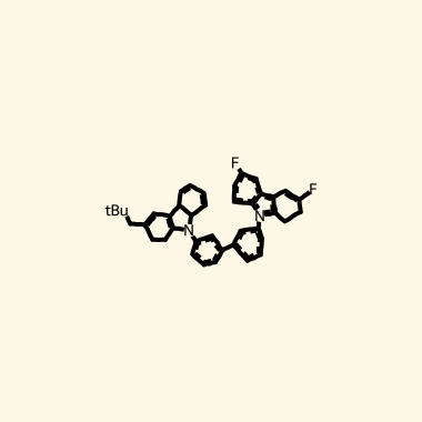 CC(C)(C)CC1=CC2=C(CC1)N(c1cccc(-c3cccc(-n4c5c(c6cc(F)ccc64)C=C(F)CC5)c3)c1)C1C=CC=CC21